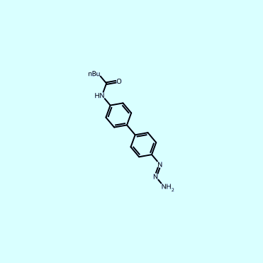 CCCCC(=O)Nc1ccc(-c2ccc(N=NN)cc2)cc1